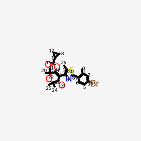 Cc1cc(Br)ccc1-c1nc(C2=C(OC(=O)C3CC3)C(C)(C)OC(C)(C)C2=O)c(C)s1